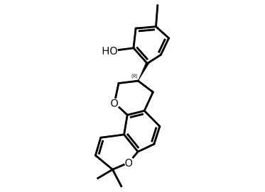 Cc1ccc([C@@H]2COc3c(ccc4c3C=CC(C)(C)O4)C2)c(O)c1